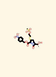 C[C@@H](O)C1C(=O)N2C(C(=O)OCc3ccc([N+](=O)[O-])cc3)=C(SCCOS(C)(=O)=O)CC12